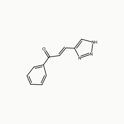 O=C(C=Cc1c[nH]nn1)c1ccccc1